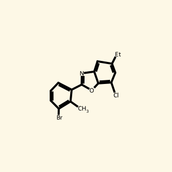 CCc1cc(Cl)c2oc(-c3cccc(Br)c3C)nc2c1